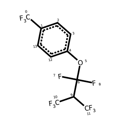 FC(F)(F)c1ccc(OC(F)(F)C(C(F)(F)F)C(F)(F)F)cc1